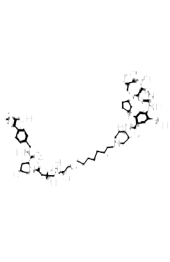 COc1cc(C(=O)NC2CCN(CCCCCCCCOCC(=O)NCC(C)(C)CC(=O)N3C[C@H](O)C[C@H]3C(=O)NCc3ccc(-c4scnc4C)cc3)CC2)c(F)cc1Nc1ncc2c(n1)N(C1CCCC1)CC(F)(F)C(=O)N2C